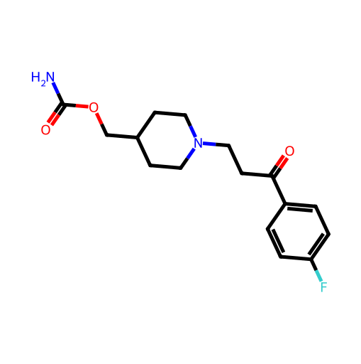 NC(=O)OCC1CCN(CCC(=O)c2ccc(F)cc2)CC1